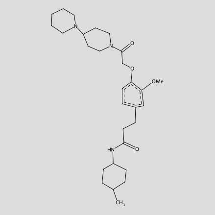 COc1cc(CCC(=O)NC2CCC(C)CC2)ccc1OCC(=O)N1CCC(N2CCCCC2)CC1